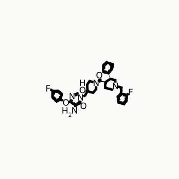 Nc1c(Oc2ccc(F)cc2)ncn(CC2(O)CCN(C(=O)[C@@H]3CCN(Cc4ccccc4F)C[C@H]3c3ccccc3)CC2)c1=O